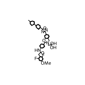 COc1cc(F)c(CC(=O)Nc2ccc(C(=O)N(Cc3ccc(-c4noc(-c5ccc(-c6ccc(C)cc6)cc5)n4)cc3)CC(O)O)cc2)c(F)c1